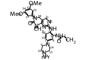 C=CC(=O)Nc1cc(N2CCN(CCC)CC2)ccc1Nc1ncc2c(n1)N(C)C(=O)N(c1cc(OC)cc(OC)c1)C2